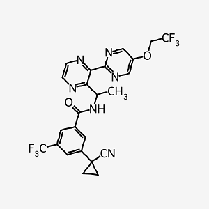 CC(NC(=O)c1cc(C(F)(F)F)cc(C2(C#N)CC2)c1)c1nccnc1-c1ncc(OCC(F)(F)F)cn1